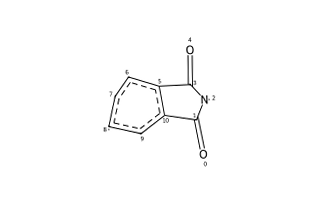 O=C1[N]C(=O)c2cc[c]cc21